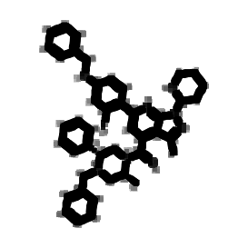 Cc1nn(C2CCCCO2)c2nc(-c3ccc(OCc4ccccc4)cc3F)cc(C(=O)N3C[C@@H](c4ccccc4)N(Cc4ccccc4)C[C@@H]3C)c12